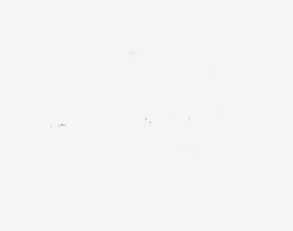 CCC(=O)[O-].CCCCCCCCCCCC[N+](C)(CCCCCCCCCCCC)C(C)O